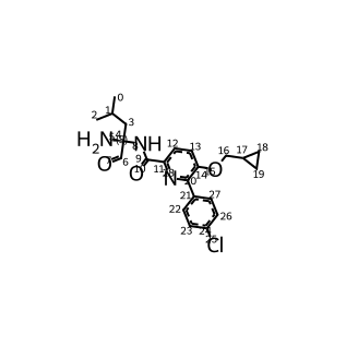 CC(C)C[C@@](N)(C=O)NC(=O)c1ccc(OCC2CC2)c(-c2ccc(Cl)cc2)n1